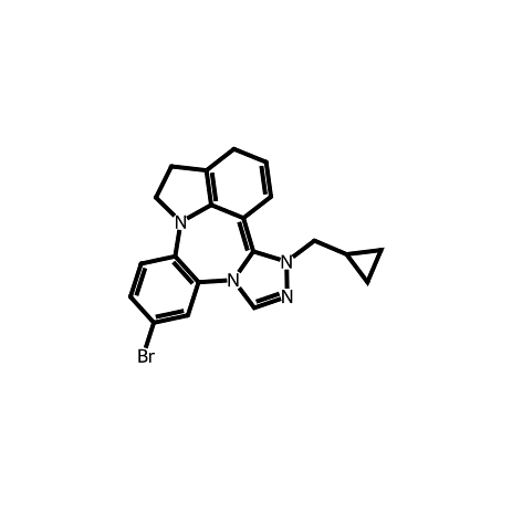 Brc1ccc2c(c1)N1C=NN(CC3CC3)C1=C1C=CCC3=C1N2CC3